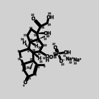 CC1=CC(=O)C=C2CC[C@@H]3[C@H](C(O)C[C@@]4(C)[C@H]3CC[C@]4(O)C(=O)CO)[C@@]12C.O=P([O-])([O-])O.[Na+].[Na+]